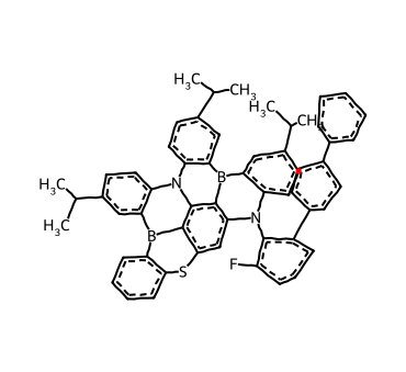 CC(C)c1ccc2c(c1)B1c3cc(C(C)C)ccc3N3c4ccc(C(C)C)cc4B4c5ccccc5Sc5cc(c1c3c54)N2c1c(F)cccc1-c1ccc(-c2ccccc2)cc1